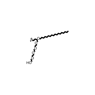 CCCCCCCCCCCCCCCCCCOC(CCN(C)C)COCCOCCOCCOCCO